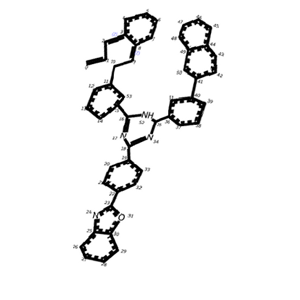 C=C/C=c1/cccc/c1=C/Cc1cccc(C2=NC(c3ccc(-c4nc5ccccc5o4)cc3)=NC(c3cccc(-c4ccc5ccccc5c4)c3)N2)c1